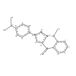 COc1ccccc1C(=O)c1cn(-c2ccc(C(C)C)cc2)nn1